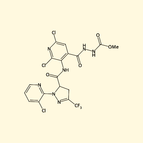 COC(=O)NNC(=O)c1cc(Cl)nc(Cl)c1NC(=O)C1CC(C(F)(F)F)=NN1c1ncccc1Cl